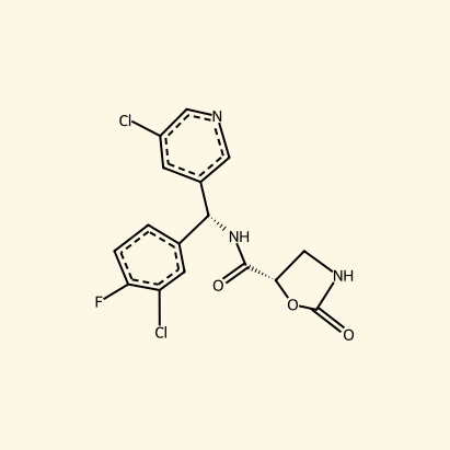 O=C1NC[C@@H](C(=O)N[C@@H](c2cncc(Cl)c2)c2ccc(F)c(Cl)c2)O1